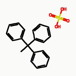 CC(c1ccccc1)(c1ccccc1)c1ccccc1.O=S(=O)(O)O